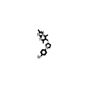 Cc1nc2nc(C)c(C[C@@H]3CCN(c4ccc(Br)cc4)C3)c(C)n2n1